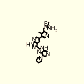 CCN(N)Cc1cncc(-c2cnc3[nH]nc(-c4nc5c(N6CCCC6)cncc5[nH]4)c3c2)c1C